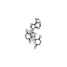 Nc1ncnc2c1ncn2[C@@H]1O[C@H](C2OC(=O)CCC2=O)[C@]2(O)C(=O)CCC(=O)[C@]12O